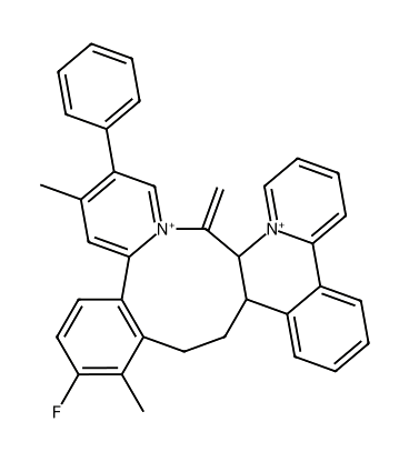 C=C1C2C(CCc3c(ccc(F)c3C)-c3cc(C)c(-c4ccccc4)c[n+]31)c1ccccc1-c1cccc[n+]12